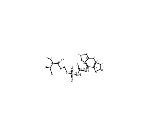 CCN(C(=O)CCCS(=O)(=O)NC(=O)Nc1c2c(cc3c1CCC3)CCC2)C(C)C